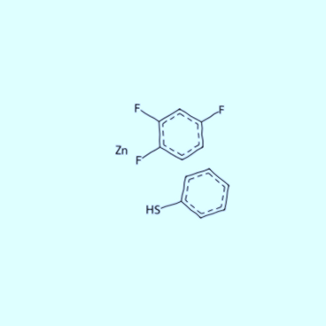 Fc1ccc(F)c(F)c1.Sc1ccccc1.[Zn]